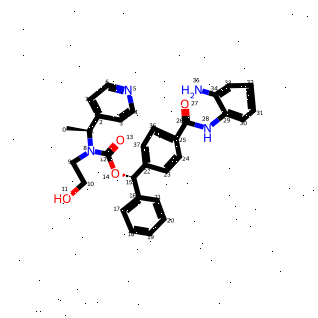 C[C@@H](c1ccncc1)N(CCO)C(=O)O[C@@H](c1ccccc1)c1ccc(C(=O)Nc2ccccc2N)cc1